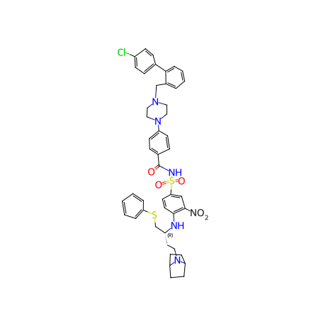 O=C(NS(=O)(=O)c1ccc(N[C@H](CCN2C3CCC2CC3)CSc2ccccc2)c([N+](=O)[O-])c1)c1ccc(N2CCN(Cc3ccccc3-c3ccc(Cl)cc3)CC2)cc1